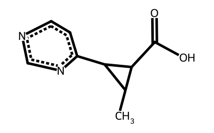 CC1C(C(=O)O)C1c1ccncn1